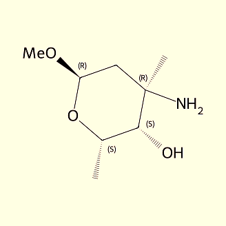 CO[C@H]1C[C@@](C)(N)[C@H](O)[C@H](C)O1